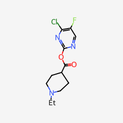 CCN1CCC(C(=O)Oc2ncc(F)c(Cl)n2)CC1